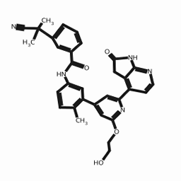 Cc1ccc(NC(=O)c2cccc(C(C)(C)C#N)c2)cc1-c1cc(OCCO)nc(-c2ccnc3c2CC(=O)N3)c1